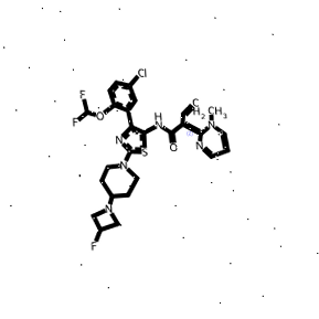 C=C/C(C(=O)Nc1sc(N2CCC(N3CC(F)C3)CC2)nc1-c1cc(Cl)ccc1OC(F)F)=C1/N=CC=CN1C